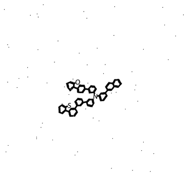 c1cc(-c2cccc(N(c3cccc(-c4ccc5ccccc5c4)c3)c3cccc(-c4ccc5c(c4)oc4ccccc45)c3)c2)cc(-c2cccc3c2sc2ccccc23)c1